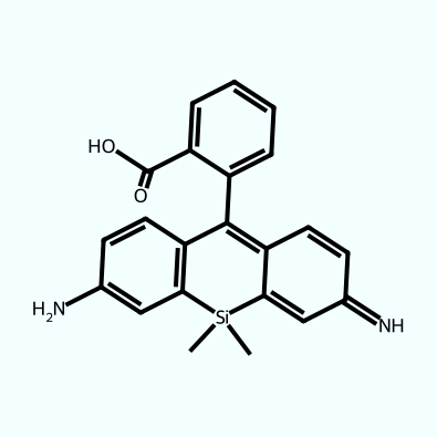 C[Si]1(C)C2=CC(=N)C=CC2=C(c2ccccc2C(=O)O)c2ccc(N)cc21